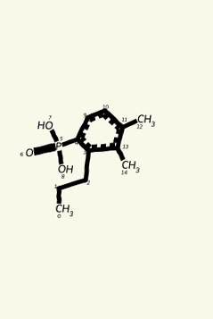 CCCc1c(P(=O)(O)O)ccc(C)c1C